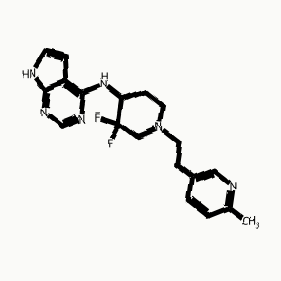 Cc1ccc(CCN2CCC(Nc3ncnc4[nH]ccc34)C(F)(F)C2)cn1